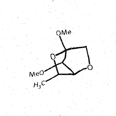 COC1C2OCC1(OC)OC2C